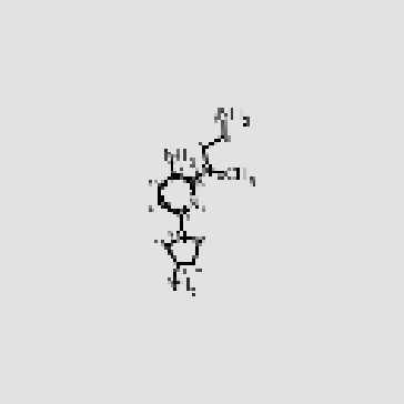 CN(CCN)c1nc(N2CCC(N)C2)ccc1N